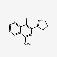 COc1nc(C2=CCCC2)c(C)c2ncccc12